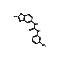 Cc1nc2cc(NC(=O)Nc3cccc(C(F)(F)F)c3)ccc2o1